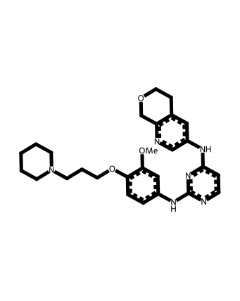 COc1cc(Nc2nccc(Nc3cnc4c(c3)CCOC4)n2)ccc1OCCCN1CCCCC1